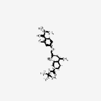 CC(COc1ccc(C(=O)N(C)C)c(Cl)c1)CC(C)C1CCN(C(=O)OC(C)(C)C)CC1